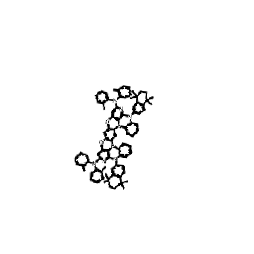 Cc1ccccc1N(c1cc2c3c(n1)N(c1ccc4c(c1)C(C)(C)CCC4(C)C)c1ccccc1B3c1cc3c(cc1O2)Oc1cc(N(c2ccccc2C)c2ccccc2C)nc2c1B3c1ccccc1N2c1ccc2c(c1)C(C)(C)CCC2(C)C)c1ccccc1C